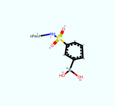 CCCCCNS(=O)(=O)c1cccc(B(O)O)c1